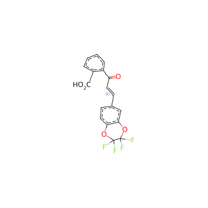 O=C(O)c1ccccc1C(=O)/C=C/c1ccc2c(c1)OC(F)(F)C(F)(F)O2